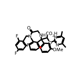 COc1cccc(C2(C(Oc3nc(C)cc(C)n3)C(=O)O)NCC(=O)N(Cc3c(F)cc(F)cc3F)c3ccccc32)c1